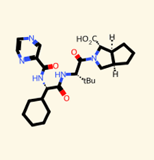 CC(C)(C)[C@H](NC(=O)[C@@H](NC(=O)c1cnccn1)C1CCCCC1)C(=O)N1C[C@@H]2CCC[C@@H]2[C@H]1C(=O)O